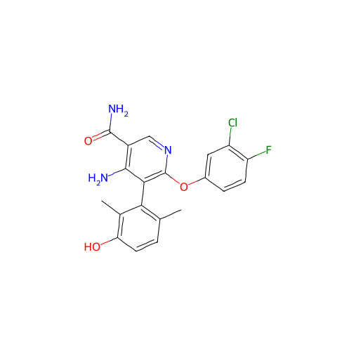 Cc1ccc(O)c(C)c1-c1c(Oc2ccc(F)c(Cl)c2)ncc(C(N)=O)c1N